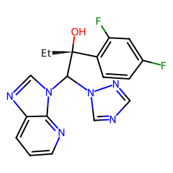 CC[C@@](O)(c1ccc(F)cc1F)C(n1cncn1)n1cnc2cccnc21